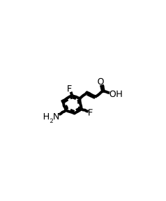 Nc1cc(F)c(C=CC(=O)O)c(F)c1